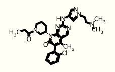 CCC(=O)N1CCC[C@H](n2c(=O)c(-c3ccccc3Cl)c(C)c3cnc(Nc4cnn(CCN(C)C)c4)nc32)C1